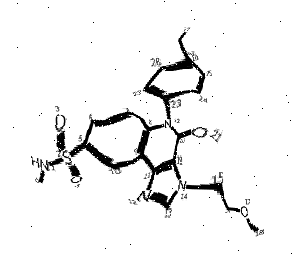 CNS(=O)(=O)c1ccc2c(c1)c1ncn(CCOC)c1c(=O)n2-c1ccc(C)cc1